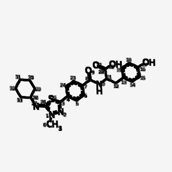 Cn1nc(-c2ccc(C(=O)NC(Cc3ccc(O)cc3)C(=O)O)cc2)sc1=NC1CCCCC1